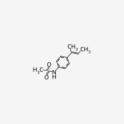 C/C=C(\C)c1ccc(NS(C)(=O)=O)cc1